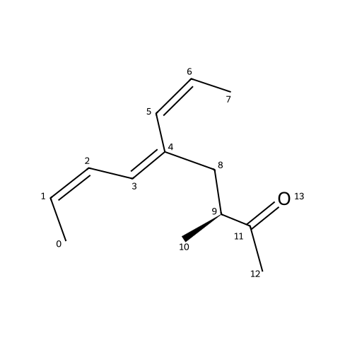 C\C=C/C=C(\C=C/C)C[C@H](C)C(C)=O